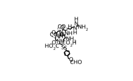 N=C(N)NCCC[C@H](NC(=O)[C@@H](N)CC(=O)O)C(=O)N[C@@H](CC(=O)O)C(=O)N[C@@H](CC(=O)O)C(=O)N[C@@H](CSSc1ccc(COC=O)cc1)C(=O)O